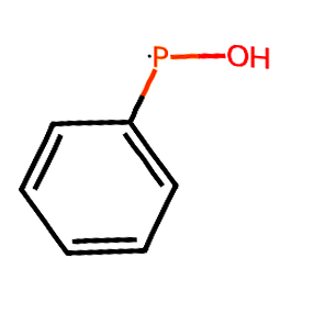 O[P]c1ccccc1